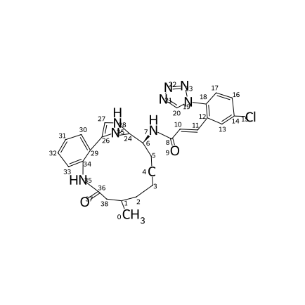 CC1CCCC[C@H](NC(=O)/C=C/c2cc(Cl)ccc2-n2cnnn2)c2nc(c[nH]2)-c2ccccc2NC(=O)C1